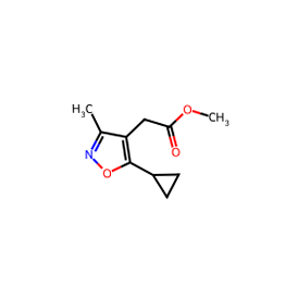 COC(=O)Cc1c(C)noc1C1CC1